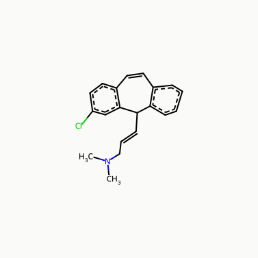 CN(C)CC=CC1c2ccccc2C=Cc2ccc(Cl)cc21